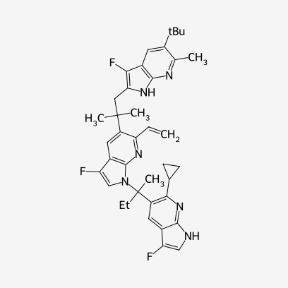 C=Cc1nc2c(cc1C(C)(C)Cc1[nH]c3nc(C)c(C(C)(C)C)cc3c1F)c(F)cn2C(C)(CC)c1cc2c(F)c[nH]c2nc1C1CC1